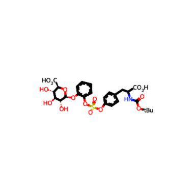 CC(C)(C)OC(=O)NC(Cc1ccc(OS(=O)(=O)Oc2ccccc2O[C@@H]2O[C@H](C(=O)O)[C@@H](O)[C@H](O)[C@H]2O)cc1)C(=O)O